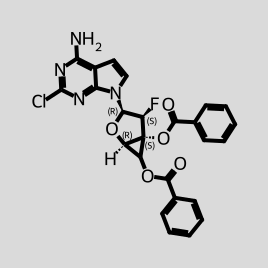 Nc1nc(Cl)nc2c1ccn2[C@@H]1O[C@@H]2C(OC(=O)c3ccccc3)[C@]2(OC(=O)c2ccccc2)[C@@H]1F